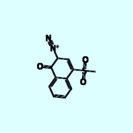 CS(=O)(=O)C1=CC([N+]#N)C(=O)c2ccccc21